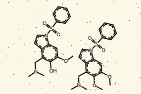 COc1cc2c(ccn2S(=O)(=O)c2ccccc2)c(CN(C)C)c1O.COc1cc2c(ccn2S(=O)(=O)c2ccccc2)c(CN(C)C)c1OC